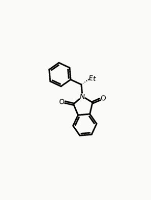 [CH2]C[C@@H](c1ccccc1)N1C(=O)c2ccccc2C1=O